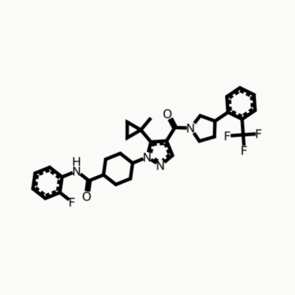 CC1(c2c(C(=O)N3CCC(c4ccccc4C(F)(F)F)C3)cnn2C2CCC(C(=O)Nc3ccccc3F)CC2)CC1